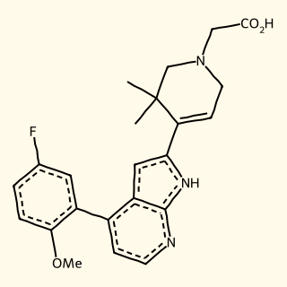 COc1ccc(F)cc1-c1ccnc2[nH]c(C3=CCN(CC(=O)O)CC3(C)C)cc12